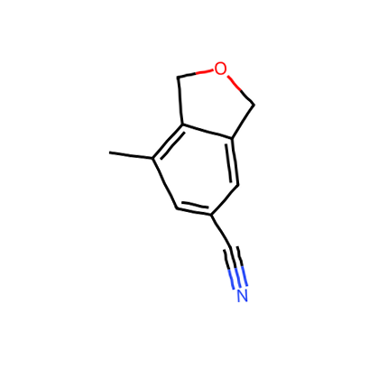 Cc1cc(C#N)cc2c1COC2